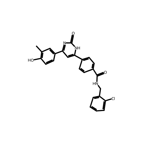 Cc1cc(-c2cc(-c3ccc(C(=O)NCc4ccccc4Cl)cc3)[nH]c(=O)n2)ccc1O